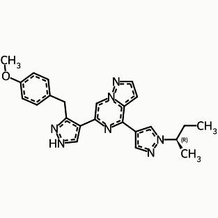 CC[C@@H](C)n1cc(-c2nc(-c3c[nH]nc3Cc3ccc(OC)cc3)cn3nccc23)cn1